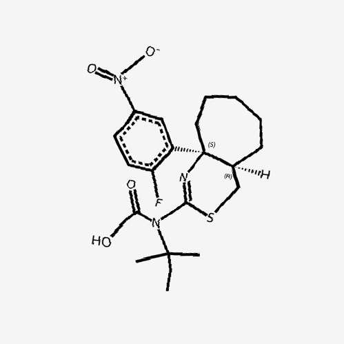 CC(C)(C)N(C(=O)O)C1=N[C@@]2(c3cc([N+](=O)[O-])ccc3F)CCCCC[C@H]2CS1